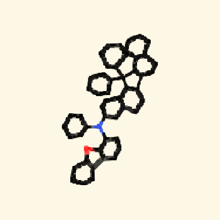 c1ccc(N(c2ccc3c4c(ccc3c2)-c2ccc3ccccc3c2C4(c2ccccc2)c2ccccc2)c2cccc3c2oc2ccccc23)cc1